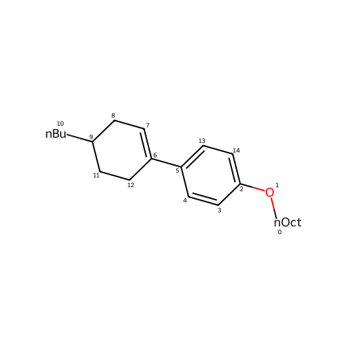 CCCCCCCCOc1ccc(C2=CCC(CCCC)CC2)cc1